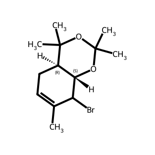 CC1=CC[C@@H]2[C@H](OC(C)(C)OC2(C)C)C1Br